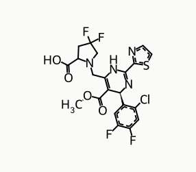 COC(=O)C1=C(CN2CC(F)(F)CC2C(=O)O)NC(c2nccs2)=N[C@H]1c1cc(F)c(F)cc1Cl